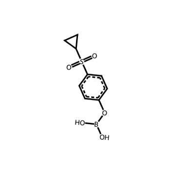 O=S(=O)(c1ccc(OB(O)O)cc1)C1CC1